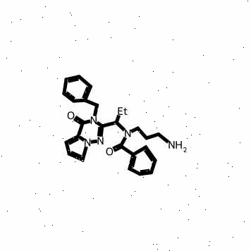 CCC(c1nn2cccc2c(=O)n1Cc1ccccc1)N(CCCN)C(=O)c1ccccc1